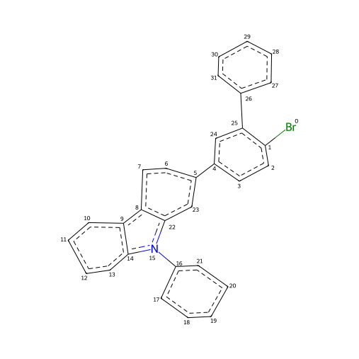 Brc1ccc(-c2ccc3c4ccccc4n(-c4ccccc4)c3c2)cc1-c1ccccc1